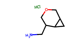 Cl.NCC1COCC2CC12